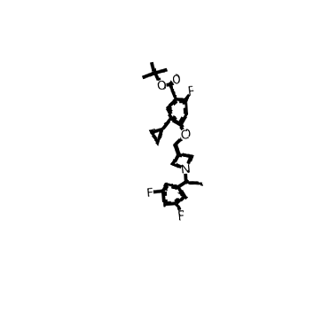 CC(c1cc(F)cc(F)c1)N1CC(COc2cc(F)c(C(=O)OC(C)(C)C)cc2C2CC2)C1